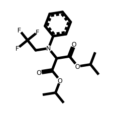 CC(C)OC(=O)C(C(=O)OC(C)C)N(CC(F)(F)F)c1ccccc1